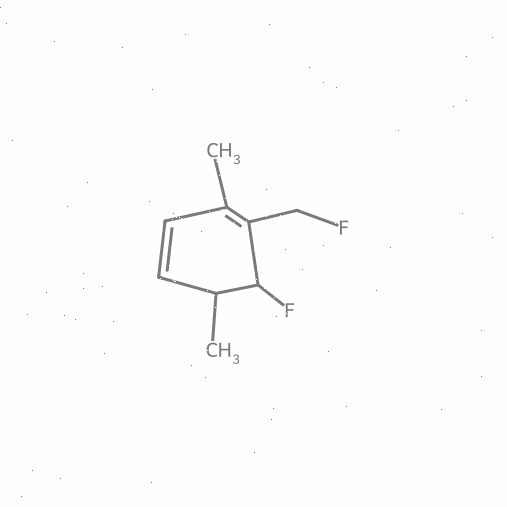 CC1=C(CF)C(F)C(C)C=C1